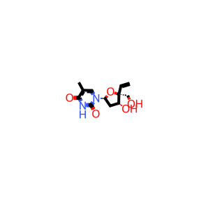 C=C[C@]1(CO)O[C@@H](n2cc(C)c(=O)[nH]c2=O)C[C@H]1O